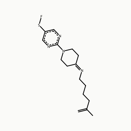 C=C(C)CCCCN=C1CCN(c2ncc(SF)cn2)CC1